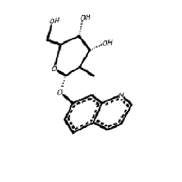 CC1[C@H](Oc2ccc3cccnc3c2)OC(CO)[C@H](O)[C@@H]1O